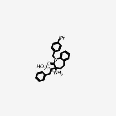 CC(C)c1ccc(CN2C(=O)C(N)([C@H](Cc3ccccc3)C(=O)O)CCc3ccccc32)cc1